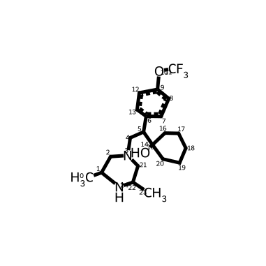 CC1CN(CC(c2ccc(OC(F)(F)F)cc2)C2(O)CCCCC2)CC(C)N1